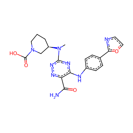 CN(c1nnc(C(N)=O)c(Nc2ccc(-c3ncco3)cc2)n1)[C@@H]1CCCN(C(=O)O)C1